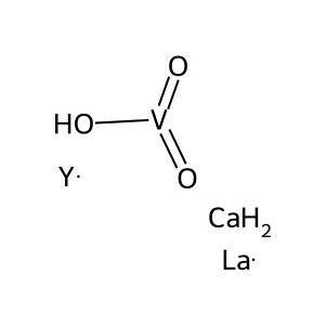 [CaH2].[La].[O]=[V](=[O])[OH].[Y]